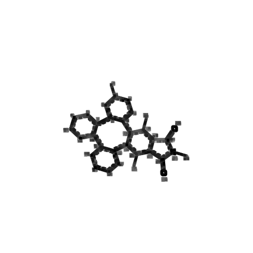 Cc1ccc2c(c1)c1ccccc1c1ccccc1c1c(C)c3c(=O)n(C)c(=O)c3c(C)c21